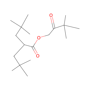 CC(C)(C)CC(CC(C)(C)C)C(=O)OCC(=O)C(C)(C)C